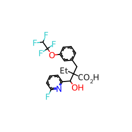 CCC(Cc1cccc(OC(F)(F)C(F)F)c1)(C(=O)O)C(O)c1cccc(F)n1